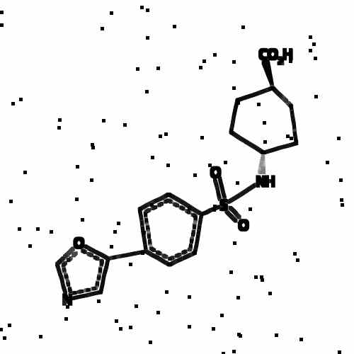 O=C(O)[C@H]1CC[C@H](NS(=O)(=O)c2ccc(-c3cnco3)cc2)CC1